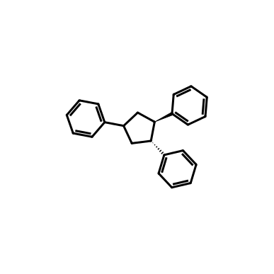 c1ccc(C2C[C@@H](c3ccccc3)[C@H](c3ccccc3)C2)cc1